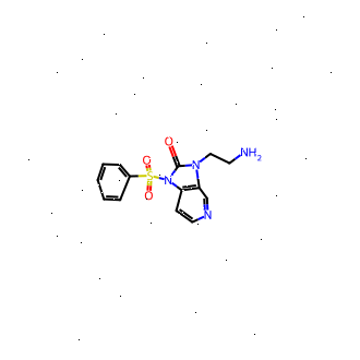 NCCn1c(=O)n(S(=O)(=O)c2ccccc2)c2ccncc21